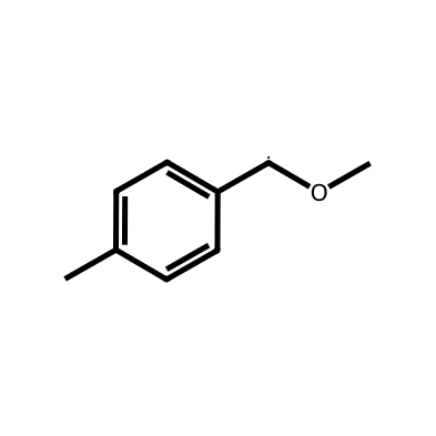 CO[CH]c1ccc(C)cc1